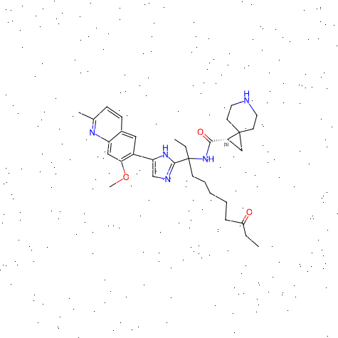 CCC(=O)CCCCCC(CC)(NC(=O)[C@H]1CC12CCNCC2)c1ncc(-c2cc3ccc(C)nc3cc2OC)[nH]1